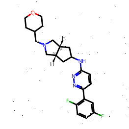 Fc1ccc(F)c(-c2ccc(NC3C[C@@H]4CN(CC5CCOCC5)C[C@@H]4C3)nn2)c1